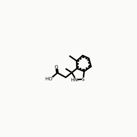 Cc1cccc2c1C(C)(CC(=O)O)NS2